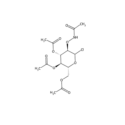 CC(=O)NO[C@H]1C(Cl)O[C@H](COC(C)=O)[C@@H](OC(C)=O)[C@@H]1OC(C)=O